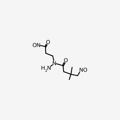 CC(C)(CN=O)CC(=O)N(N)CCC(=O)N=O